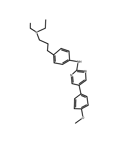 CCN(CC)CCCc1ccc(Nc2ncc(-c3ccc(OC)cc3)cn2)cc1